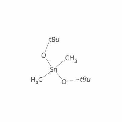 CC(C)(C)[O][Sn]([CH3])([CH3])[O]C(C)(C)C